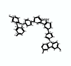 Cc1ccc2c(c1)c1cc(C)ccc1n2-c1ccc(-c2ccc3[nH]c4ccc(-c5ccc(-n6c7ccc(C)cc7c7cc(C)ccc76)cc5)cc4c3c2)cc1